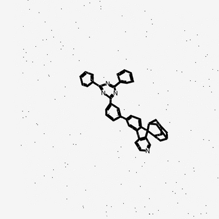 c1ccc(-c2nc(-c3ccccc3)nc(-c3cccc(-c4ccc5c(c4)-c4ccncc4C54C5CC6CC(C5)CC4C6)c3)n2)cc1